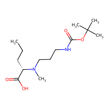 CCC[C@@H](C(=O)O)N(C)CCCNC(=O)OC(C)(C)C